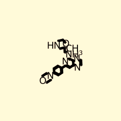 C[C@@]1(CNc2nc(-c3ccc(N4CCOCC4)cc3)cc3nccnc23)CNCCO1